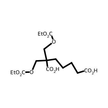 CCOC(=O)OCC(CCCCC(=O)O)(COC(=O)OCC)C(=O)O